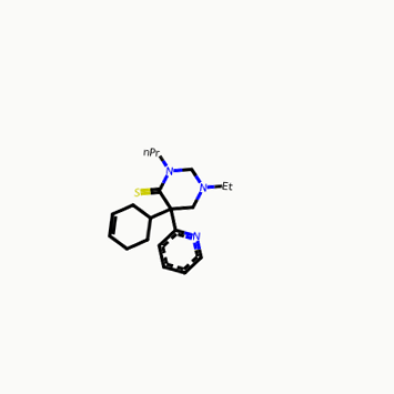 CCCN1CN(CC)CC(c2ccccn2)(C2CC=CCC2)C1=S